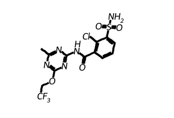 Cc1nc(NC(=O)c2cccc(S(N)(=O)=O)c2Cl)nc(OCC(F)(F)F)n1